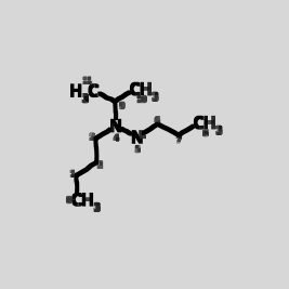 CCCCN([N]CCC)C(C)C